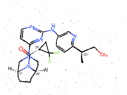 C[C@H](CO)c1ccc(Nc2nccc(N3C[C@H]4CC[C@@H](C3)N4C(=O)[C@@H]3CC3(F)F)n2)cn1